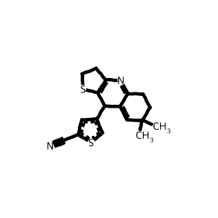 CC1(C)C=C2C(=NC3=C(SCC3)C2c2csc(C#N)c2)CC1